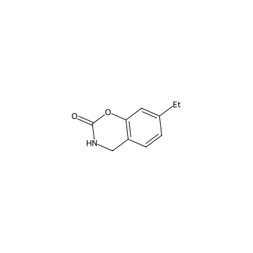 CCc1ccc2c(c1)OC(=O)NC2